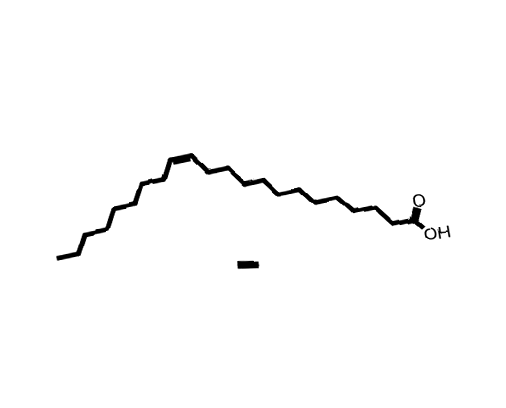 C=C.CCCCCCCC/C=C\CCCCCCCCCCCC(=O)O